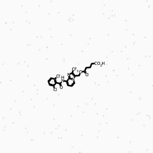 O=C(O)CCCC(=O)OCc1c(C(F)(F)F)nc2c(NC(=O)c3c(Cl)cccc3Cl)cccn12